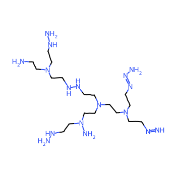 N=NCCN(CCN=NN)CCN(CCNNCCN(CCN)CCNN)CCN(N)CCNN